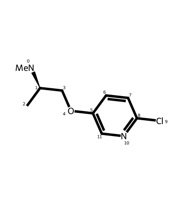 CN[C@H](C)COc1ccc(Cl)nc1